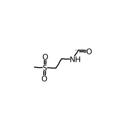 CS(=O)(=O)CCN[C]=O